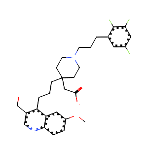 COc1ccc2ncc(CO)c([C@H](F)CCC3(CC(=O)O)CCN(CCCc4cc(F)cc(F)c4F)CC3)c2c1